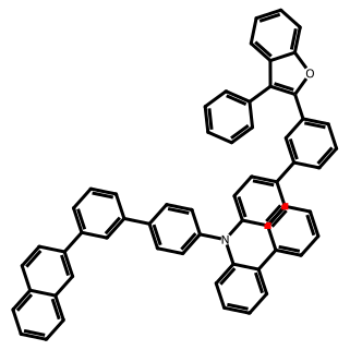 c1ccc(-c2ccccc2N(c2ccc(-c3cccc(-c4ccc5ccccc5c4)c3)cc2)c2ccc(-c3cccc(-c4oc5ccccc5c4-c4ccccc4)c3)cc2)cc1